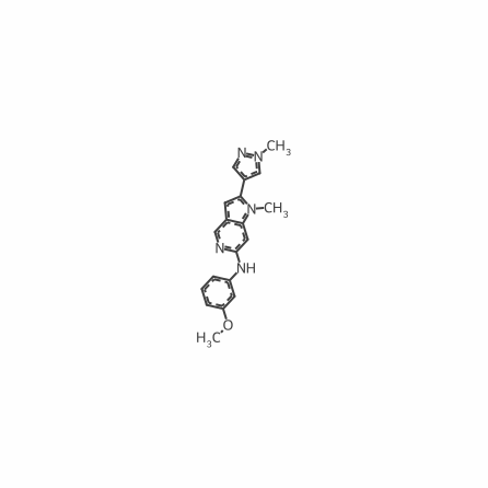 COc1cccc(Nc2cc3c(cn2)cc(-c2cnn(C)c2)n3C)c1